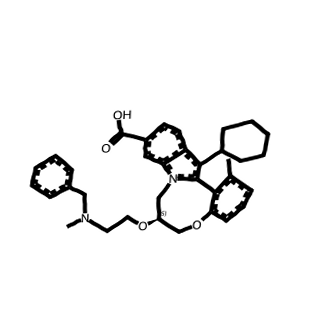 Cc1cccc2c1-c1c(C3CCCCC3)c3ccc(C(=O)O)cc3n1C[C@H](OCCN(C)Cc1ccccc1)CO2